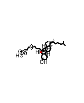 CC(C)CCC[C@@H](C)[C@H]1CC[C@H]2[C@@H]3CC=C4C[C@@H](O)CC[C@]4(C(=O)NCCC[N+](C)(C)CCCS(=O)(=O)O)[C@H]3CC[C@]12C